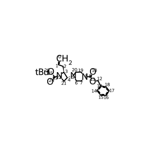 C=CC[C@H]1[C@H](N2CCN(C(=O)OCc3ccccc3)CC2)CN1C(=O)OC(C)(C)C